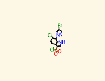 O=S(=O)(Cl)c1c[nH]c2c(-n3cc(Br)cn3)c(Cl)ccc12